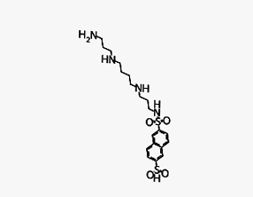 NCCCNCCCCNCCCNS(=O)(=O)c1ccc2cc([SH](=O)=O)ccc2c1